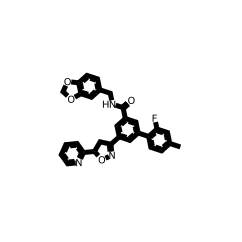 Cc1ccc(-c2cc(C(=O)NCc3ccc4c(c3)OCO4)cc(C3=NOC(c4ccccn4)C3)c2)c(F)c1